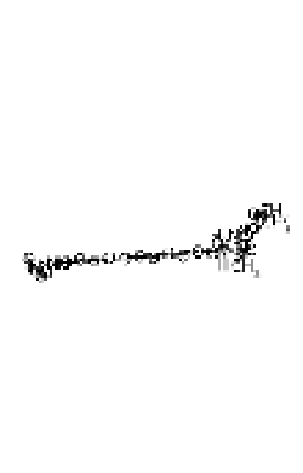 CCCN(OCCNC(=O)OCCOCCOCCOCCOCCOCCOCCOCCOCCOCCOCCNC(=O)CN1C(=O)C=CC1=O)C(=O)C1=Cc2ccc(C(=O)N(C)C)cc2N=C(N)C1